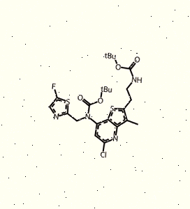 Cc1c(CCNC(=O)OC(C)(C)C)sc2c(N(Cc3ncc(F)s3)C(=O)OC(C)(C)C)cc(Cl)nc12